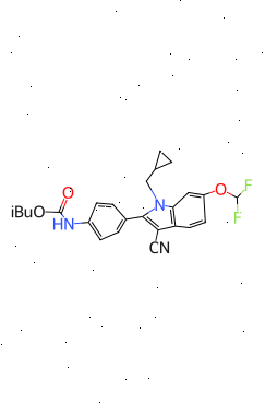 CC(C)COC(=O)Nc1ccc(-c2c(C#N)c3ccc(OC(F)F)cc3n2CC2CC2)cc1